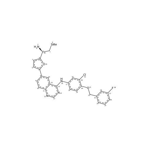 CSC[C@H](N)c1ccc(-c2ccc3ncnc(Nc4ccc(OCc5cccc(F)c5)c(Cl)c4)c3c2)o1